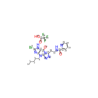 CCCCCn1c2nc(Br)[nH]c2c(=O)n2c(CCNC(=O)c3ccccn3)nnc12.O=C(O)C(F)(F)F